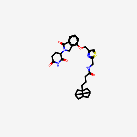 O=C(CCCC12CC3CC1CC3C2)NCc1nc(COc2cccc3c2CN(C2CCC(=O)NC2=O)C3=O)cs1